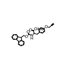 C#CCOc1ccc(CC(NC(=O)OCC2c3ccccc3-c3ccccc32)C(=O)OC)cc1